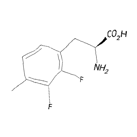 Cc1ccc(C[C@H](N)C(=O)O)c(F)c1F